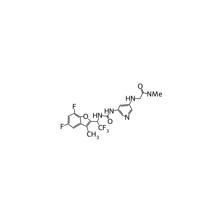 CNC(=O)CNc1cncc(NC(=O)NC(c2oc3c(F)cc(F)cc3c2C)C(F)(F)F)c1